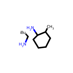 CC1CCCCC1N.CCC(C)CN